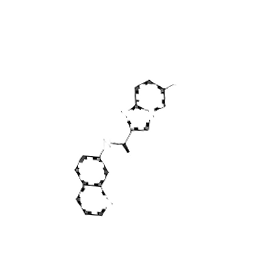 O=C(Nc1ccc2cccnc2c1)c1cn2cc(C(F)(F)F)ccc2n1